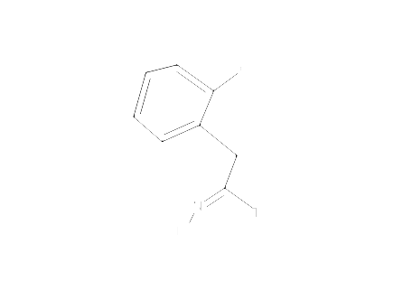 CCC(Cc1ccccc1C)=NO